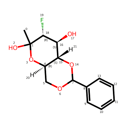 CC1(O)O[C@@H]2COC(c3ccccc3)O[C@H]2[C@H](O)[C@H]1F